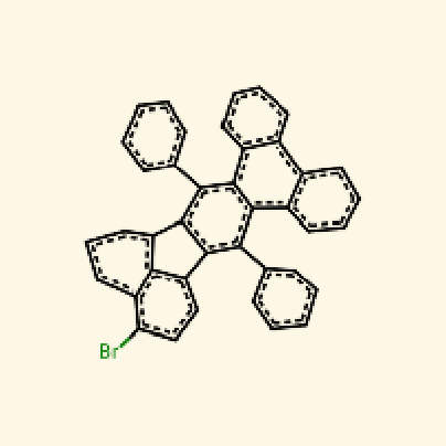 Brc1ccc2c3c(cccc13)-c1c-2c(-c2ccccc2)c2c3ccccc3c3ccccc3c2c1-c1ccccc1